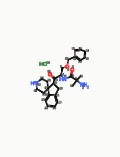 CC(C)(N)C(=O)N[C@H](COCc1ccccc1)C(=O)C1Cc2ccccc2C12CCNCC2.Cl